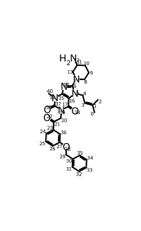 CC(C)=CCn1c(N2CCCC(N)C2)nc2c1c(=O)n(CC(=O)c1cccc(OCc3ccccc3)c1)c(=O)n2C